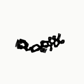 O=C1CCC(N2C(=O)c3ccc(C4(O)CCN(Cc5cccnn5)CC4)cc3C2=O)C(=O)N1